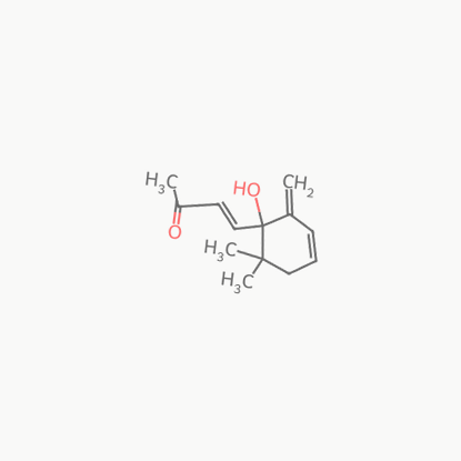 C=C1C=CCC(C)(C)C1(O)C=CC(C)=O